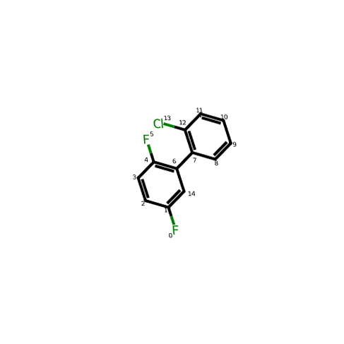 Fc1ccc(F)c(-c2ccc[c]c2Cl)c1